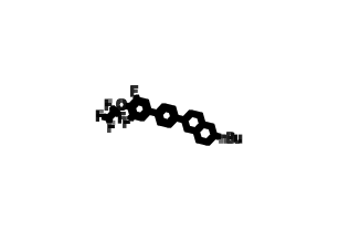 CCCCC1CCC2CC(c3ccc(-c4cc(F)c(OC(F)(F)C(F)F)c(F)c4)cc3)CCC2C1